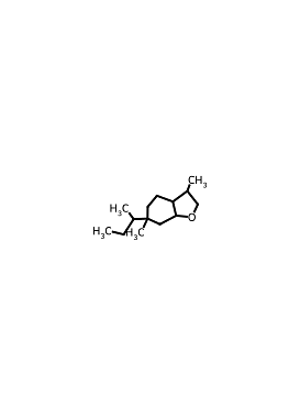 CCC(C)C1(C)CCC2C(C)COC2C1